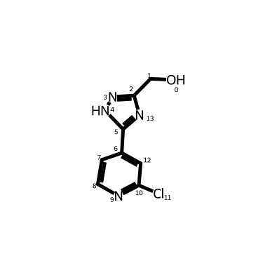 OCc1n[nH]c(-c2ccnc(Cl)c2)n1